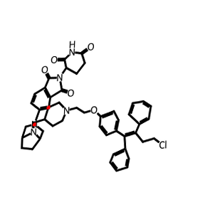 O=C1CCC(N2C(=O)c3ccc(N4CC5CCC(C4)N5CC4CCN(CCOc5ccc(C(=C(CCCl)c6ccccc6)c6ccccc6)cc5)CC4)cc3C2=O)C(=O)N1